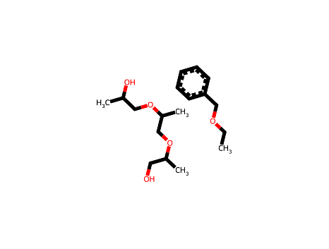 CC(O)COC(C)COC(C)CO.CCOCc1ccccc1